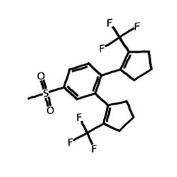 CS(=O)(=O)c1ccc(C2=C(C(F)(F)F)CCC2)c(C2=C(C(F)(F)F)CCC2)c1